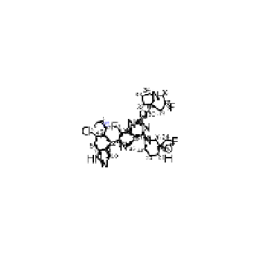 C/C=C\c1c(Cl)cc2[nH]ncc2c1-c1ncc2c(N3CCC[C@](O)(CF)C3)nc(OC[C@@]34CCCN3C[C@H](F)C4)nc2c1F